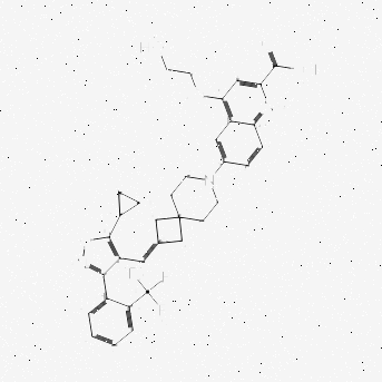 O=C(O)c1cc(OCCO)c2cc(N3CCC4(CC3)CC(=Cc3c(-c5ccccc5C(F)(F)F)noc3C3CC3)C4)ccc2n1